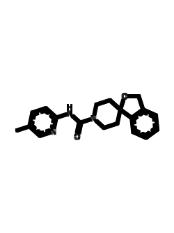 Cc1ccc(NC(=O)N2CCC3(CC2)OCc2ccccc23)nc1